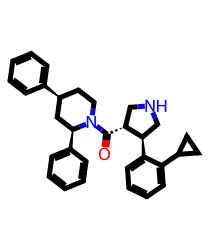 O=C([C@@H]1CNC[C@H]1c1ccccc1C1CC1)N1CC[C@H](c2ccccc2)C[C@@H]1c1ccccc1